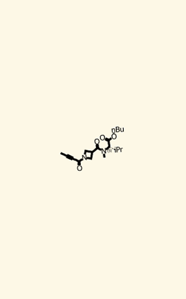 CC#CC(=O)N1CC(C(=O)N(C)[C@H](C(=O)OCCCC)C(C)C)C1